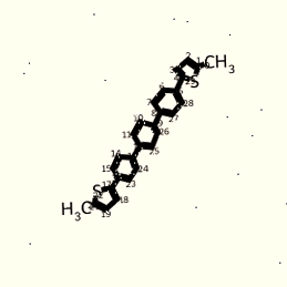 Cc1ccc(-c2ccc(-c3ccc(-c4ccc(-c5ccc(C)s5)cc4)cc3)cc2)s1